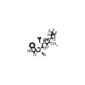 C[C@H](NC(=O)C1(F)C(F)(F)C1(F)F)C(=O)N(C)[C@@H](CC1CC1)C(=O)N1C[C@]2(C[C@H]1C#N)C(=O)Nc1ccccc12